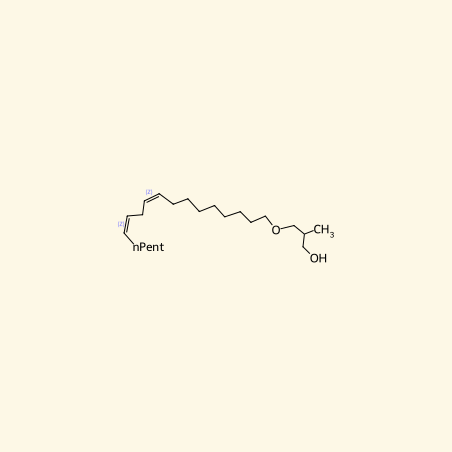 CCCCC/C=C\C/C=C\CCCCCCCCOCC(C)CO